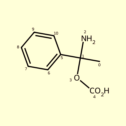 CC(N)(OC(=O)O)c1ccccc1